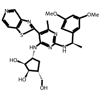 COc1cc(OC)cc([C@@H](C)Nc2nc(C)c(-c3nc4cnccc4s3)c(N[C@@H]3C[C@H](CO)[C@@H](O)[C@H]3O)n2)c1